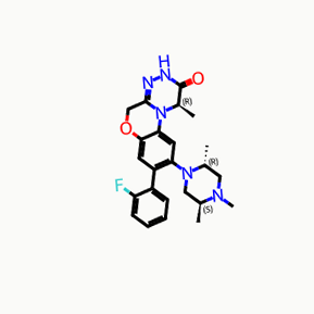 C[C@@H]1CN(C)[C@@H](C)CN1c1cc2c(cc1-c1ccccc1F)OCC1=NNC(=O)[C@@H](C)N12